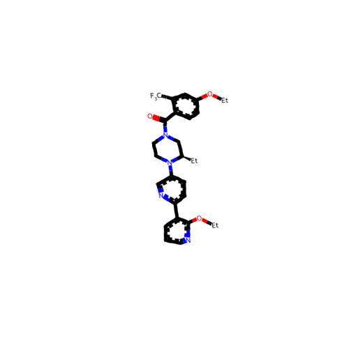 CCOc1ccc(C(=O)N2CCN(c3[c]nc(-c4cccnc4OCC)cc3)[C@H](CC)C2)c(C(F)(F)F)c1